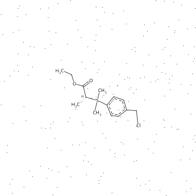 CCOC(=O)[C@@H](C)S(C)(C)c1ccc(CCl)cc1